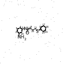 Nc1cccc(NC(=O)CCCSc2ccccc2)c1